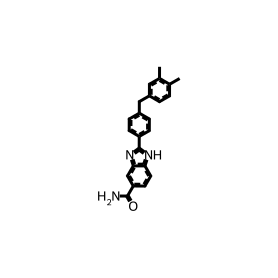 Cc1ccc(Cc2ccc(-c3nc4cc(C(N)=O)ccc4[nH]3)cc2)cc1C